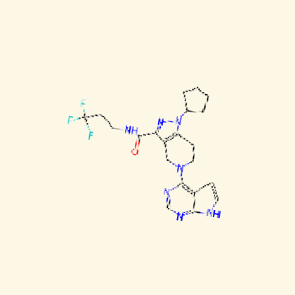 O=C(NCCC(F)(F)F)c1nn(C2CCCC2)c2c1CN(c1ncnc3[nH]ccc13)CC2